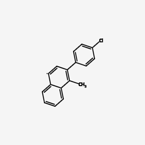 Cc1c(-c2ccc(Cl)cc2)c[c]c2ccccc12